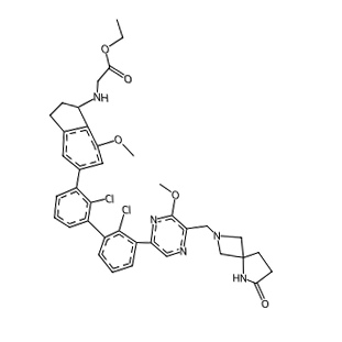 CCOC(=O)CNC1CCc2cc(-c3cccc(-c4cccc(-c5cnc(CN6CC7(CCC(=O)N7)C6)c(OC)n5)c4Cl)c3Cl)cc(OC)c21